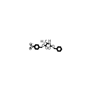 [CH2][C@@H](NC(=O)OCc1ccccc1)C(=O)OCc1ccc([N+](=O)[O-])cc1